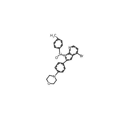 Cc1ccc([S+]([O-])n2c(-c3ccc(N4CCOCC4)cc3)cc3c(Br)ccnc32)cc1